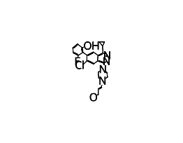 O=CC=CN1CCN(c2nnc(C3CC3)c3cc(-c4c(O)cccc4F)c(Cl)cc23)CC1